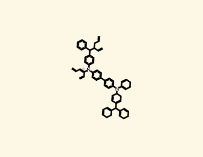 C=C/C=C(\C=C)N(c1ccc(-c2ccc(N(C3=CCCC=C3)C3C=CC(C(C4=CCCC=C4)C4=CC=CCC4)=CC3)cc2)cc1)c1ccc(C(c2ccccc2)C(C=C)CC=C)cc1